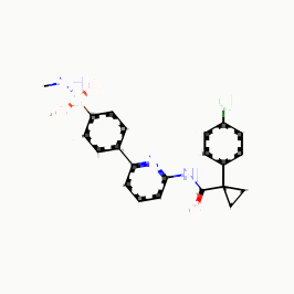 CNS(=O)(=O)c1ccc(-c2cccc(NC(=O)C3(c4ccc(Cl)cc4)CC3)n2)cc1